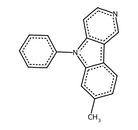 Cc1ccc2c3cnccc3n(-c3ccccc3)c2c1